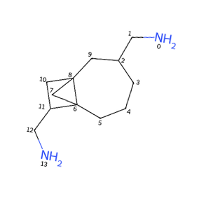 NCC1CCCC23CC2(C1)CC3CN